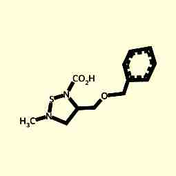 CN1CC(COCc2ccccc2)N(C(=O)O)S1